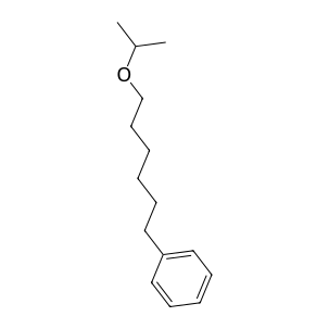 CC(C)OCCCCCCc1ccccc1